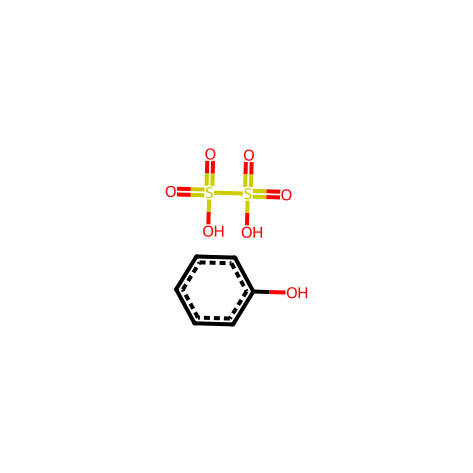 O=S(=O)(O)S(=O)(=O)O.Oc1ccccc1